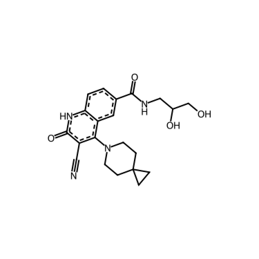 N#Cc1c(N2CCC3(CC2)CC3)c2cc(C(=O)NCC(O)CO)ccc2[nH]c1=O